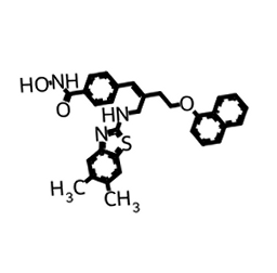 Cc1cc2nc(NCC(=Cc3ccc(C(=O)NO)cc3)CCOc3cccc4ccccc34)sc2cc1C